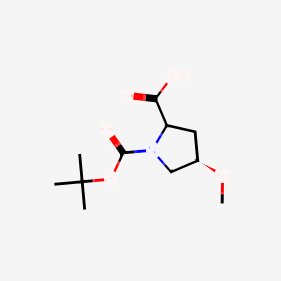 CO[C@@H]1CC(C(=O)O)N(C(=O)OC(C)(C)C)C1